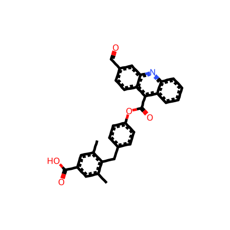 Cc1cc(C(=O)O)cc(C)c1Cc1ccc(OC(=O)c2c3ccccc3nc3cc(C=O)ccc23)cc1